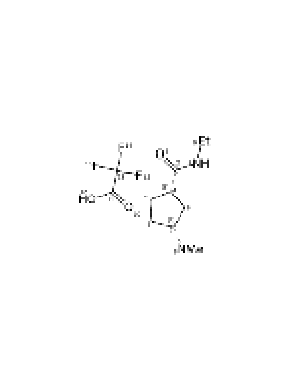 CCNC(=O)[C@H]1CC[C@@H](NC)C1.O=C(O)C(F)(F)F